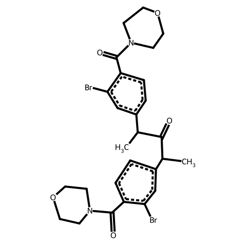 CC(C(=O)C(C)c1ccc(C(=O)N2CCOCC2)c(Br)c1)c1ccc(C(=O)N2CCOCC2)c(Br)c1